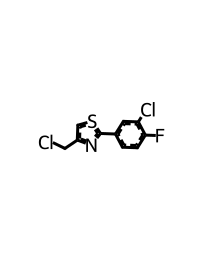 Fc1ccc(-c2nc(CCl)cs2)cc1Cl